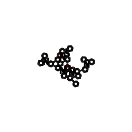 c1ccc(-c2ccccc2-c2c(-c3ccccc3)cccc2N(c2ccc(-c3cc(-n4c5ccccc5c5ccccc54)ccc3-c3ccc(-n4c5ccccc5c5c(N(c6ccc(-c7cccc(-n8c9ccccc9c9ccccc98)c7)cc6)c6cccc(-c7ccccc7)c6-c6ccccc6-c6ccccc6)cccc54)cc3)cc2)c2cccc3c2sc2ccccc23)cc1